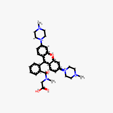 CN1CCN(c2ccc3c(-c4ccccc4C(=O)N(C)CC(=O)O)c4ccc(=[N+]5CCN(C)CC5)cc-4oc3c2)CC1